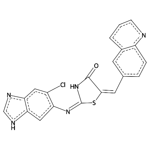 O=C1NC(=Nc2cc3[nH]cnc3cc2Cl)SC1=Cc1ccc2ncccc2c1